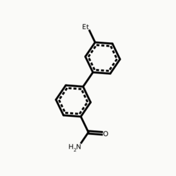 CCc1cccc(-c2cccc(C(N)=O)c2)c1